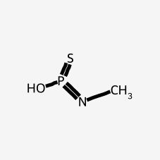 CN=P(O)=S